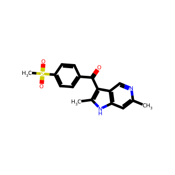 Cc1cc2[nH]c(C)c(C(=O)c3ccc(S(C)(=O)=O)cc3)c2cn1